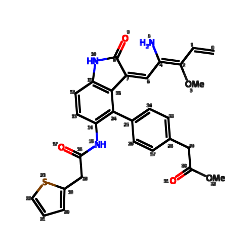 C=C/C(OC)=C(N)/C=C1\C(=O)Nc2ccc(NC(=O)Cc3cccs3)c(-c3ccc(CC(=O)OC)cc3)c21